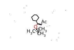 CC(=O)/C=C(/O[Si](C)(C)C)C1CCCCC1